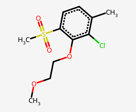 COCCOc1c(S(C)(=O)=O)ccc(C)c1Cl